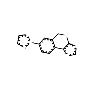 c1cnn(-c2ccc3c(c2)COc2ncsc2-3)n1